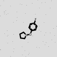 Fc1ccc(ON2CCCC2)cc1